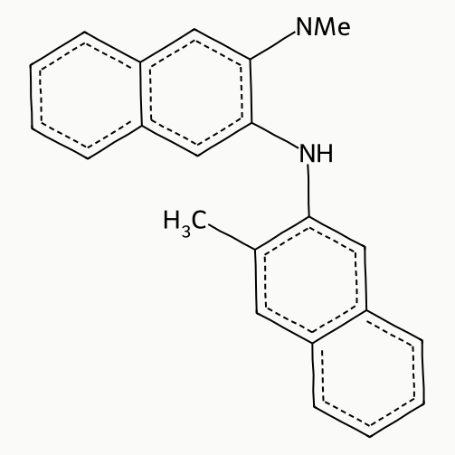 CNc1cc2ccccc2cc1Nc1cc2ccccc2cc1C